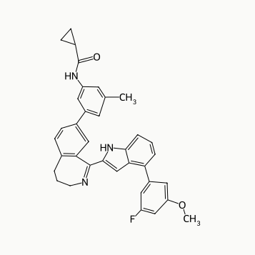 COc1cc(F)cc(-c2cccc3[nH]c(C4=NCCCc5ccc(-c6cc(C)cc(NC(=O)C7CC7)c6)cc54)cc23)c1